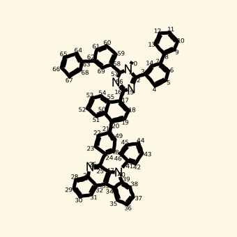 CN1C(c2cccc(-c3ccccc3)c2)=NC(c2ccc(-c3ccc(-c4nc5ccccc5c5c6ccccc6n(-c6ccccc6)c45)cc3)c3ccccc23)=NC1c1cccc(-c2ccccc2)c1